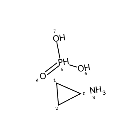 C1CC1.N.O=[PH](O)O